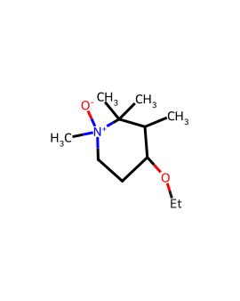 CCOC1CC[N+](C)([O-])C(C)(C)C1C